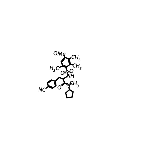 COc1cc(C)c(S(=O)(=O)NC(Cc2ccc(C#N)cc2)C(=O)N(C)C2CCCC2)c(C)c1C